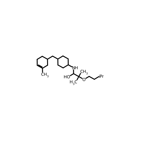 CC1=CCCC(CC2CCC(NC(O)C(C)(C)OCCC(C)C)CC2)C1